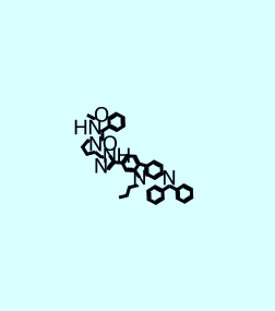 CCCCn1c2cc(N=C(c3ccccc3)c3ccccc3)ccc2c2ccc(-c3cnc(C4CCCN4C(=O)[C@H](NC(C)=O)c4ccccc4)[nH]3)cc21